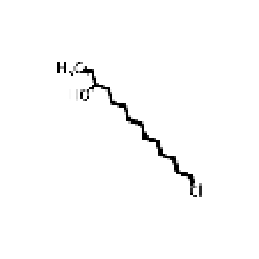 C=CC(O)CCCCCCCCCCCCl